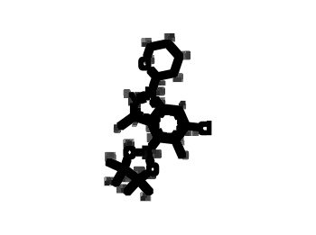 Cc1c(Cl)cc2c(c(C)nn2C2CCCCO2)c1B1OC(C)(C)C(C)(C)O1